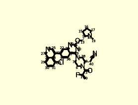 C=C(F)C(=O)N1CCN(c2nc(OC[C@@H]3CCCN3C)nc3cc(-c4cncc5cccc(Cl)c45)ccc23)C[C@@H]1CC#N